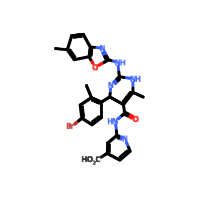 CC1=C(C(=O)Nc2cc(C(=O)O)ccn2)C(c2ccc(Br)cc2C)N=C(Nc2nc3ccc(C)cc3o2)N1